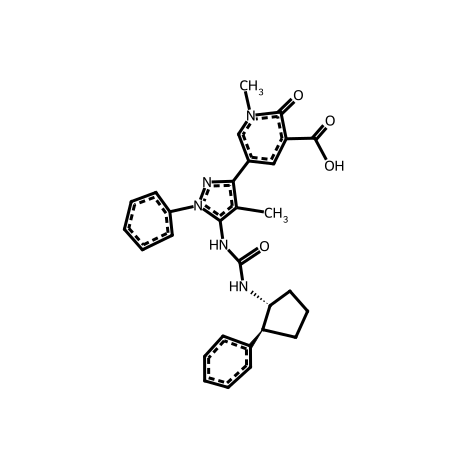 Cc1c(-c2cc(C(=O)O)c(=O)n(C)c2)nn(-c2ccccc2)c1NC(=O)N[C@@H]1CCC[C@H]1c1ccccc1